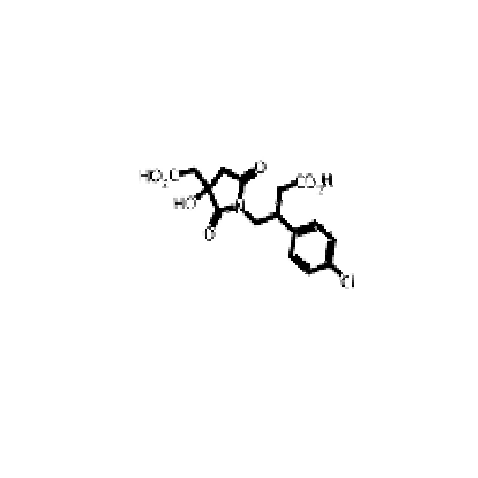 O=C(O)CC(CN1C(=O)CC(O)(CC(=O)O)C1=O)c1ccc(Cl)cc1